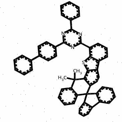 CC1(C)c2ccccc2C2(c3ccccc3-c3ccccc32)c2ccc3c(sc4c(-c5nc(-c6ccccc6)nc(-c6ccc(-c7ccccc7)cc6)n5)cccc43)c21